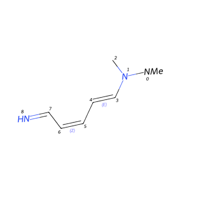 CNN(C)/C=C/C=C\C=N